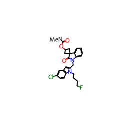 CNC(=O)OC1CC2(C1)C(=O)N(Cc1cc3cc(Cl)ccc3n1CCCCF)c1ccccc12